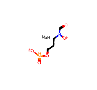 O=CN(O)CCCO[PH](=O)O.[NaH]